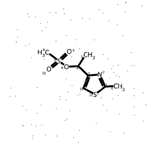 Cc1nc(C(C)OS(C)(=O)=O)cs1